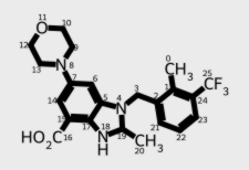 Cc1c(CN2c3cc(N4CCOCC4)cc(C(=O)O)c3NC2C)cccc1C(F)(F)F